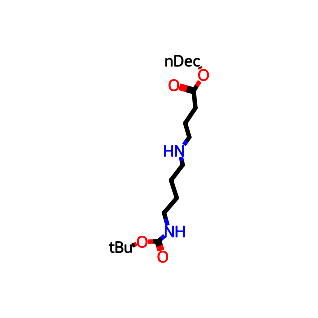 CCCCCCCCCCOC(=O)CCCNCCCCNC(=O)OC(C)(C)C